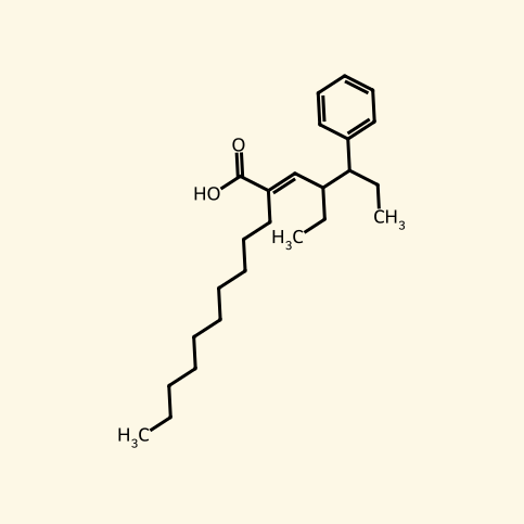 CCCCCCCCCCC(=CC(CC)C(CC)c1ccccc1)C(=O)O